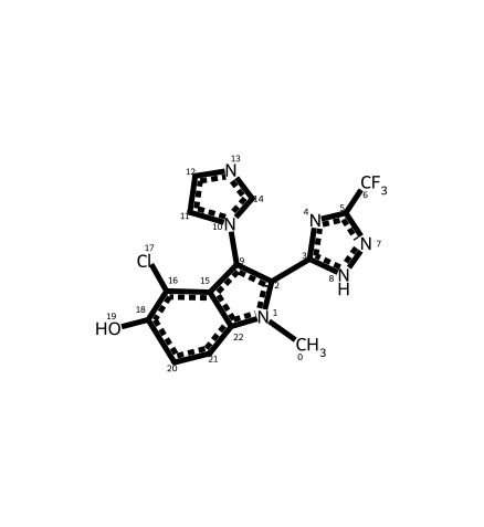 Cn1c(-c2nc(C(F)(F)F)n[nH]2)c(-n2ccnc2)c2c(Cl)c(O)ccc21